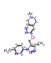 CC(=O)N1CCc2cc(OCc3c(C)nnn3-c3ccc(C)nc3)nnc2C1